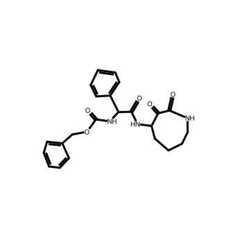 O=C(NC(C(=O)NC1CCCCNC(=O)C1=O)c1ccccc1)OCc1ccccc1